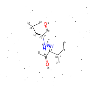 CC[C@H](C)C(NN[C@H](C=O)CC(C)C)C(C)=O